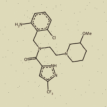 COC1CCCN(CCN(Cc2c(N)cccc2Cl)C(=O)c2cc(C(F)(F)F)n[nH]2)C1